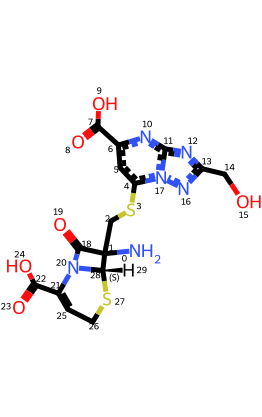 NC1(CSc2cc(C(=O)O)nc3nc(CO)nn23)C(=O)N2C(C(=O)O)=CCS[C@H]21